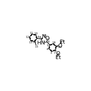 CCOc1ccc(C2NC(c3ccccc3C)=NO2)cc1OCC